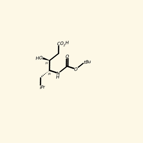 CC(C)C[C@@H](NC(=O)OC(C)(C)C)[C@@H](O)CC(=O)O